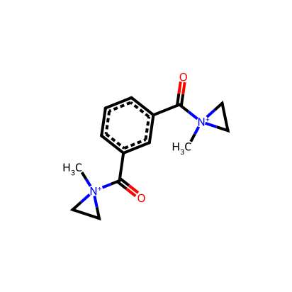 C[N+]1(C(=O)c2cccc(C(=O)[N+]3(C)CC3)c2)CC1